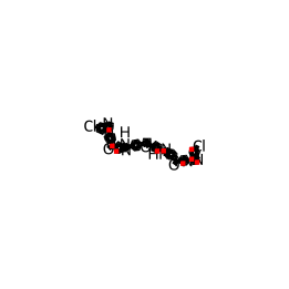 O=C(c1ccc2nc(-c3ccc(-c4ccc(-c5ccc(-c6nc7ccc(C(=O)N8CCN(c9ccnc%10cc(Cl)ccc9%10)CC8)cc7[nH]6)cc5)o4)cc3)[nH]c2c1)N1CCN(c2ccnc3cc(Cl)ccc23)CC1